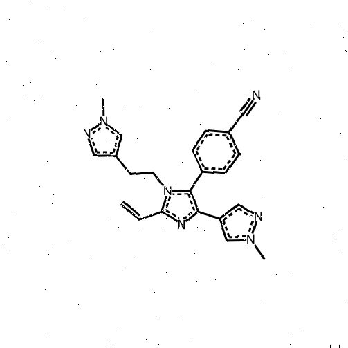 C=Cc1nc(-c2cnn(C)c2)c(-c2ccc(C#N)cc2)n1CCc1cnn(C)c1